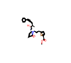 COC(=O)c1ccc(CCCN2C(=O)CC[C@@H]2/C=C/[C@H](O)C(C)CC#Cc2ccccc2)s1